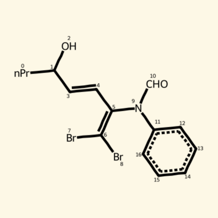 CCCC(O)/C=C/C(=C(Br)Br)N(C=O)c1ccccc1